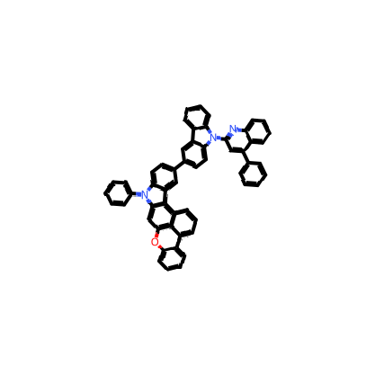 c1ccc(-c2cc(-n3c4ccccc4c4cc(-c5ccc6c(c5)c5c7cccc8c7c(cc5n6-c5ccccc5)Oc5ccccc5-8)ccc43)nc3ccccc23)cc1